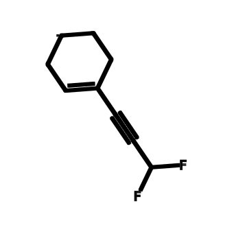 FC(F)C#CC1=CC[CH]CC1